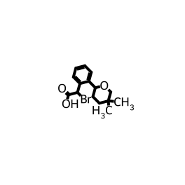 CC1(C)CCC(c2ccccc2C(Br)C(=O)O)OC1